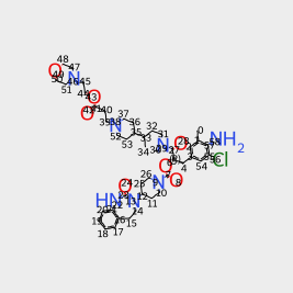 Cc1cc(C[C@@H](OC(=O)N2CCC(N3CCc4ccccc4NC3=O)CC2)C(=O)N(C)CCC(C)C2CCN(CCC(=O)OCCN3CCOCC3)CC2)cc(Cl)c1N